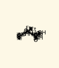 CCN(CC)CCN(CCNCCc1ccc(OP(=O)(O)O)c2[nH]c(=O)sc12)C(=O)CCOCCc1cccc2ccccc12